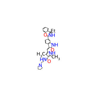 CC[C@@H](NC(=O)c1ccc2c(c1)NC(=O)C2=Cc1[nH]c(C)c(C(=O)NCCN2CCCC2)c1C)c1ccccc1